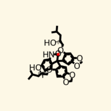 CC(C)C[C@@H](O)COc1cc2c(cc1C1(c3cc4c(cc3OC[C@H](O)CC(C)C)OCO4)C(=O)Nc3ccc(F)cc31)OCO2